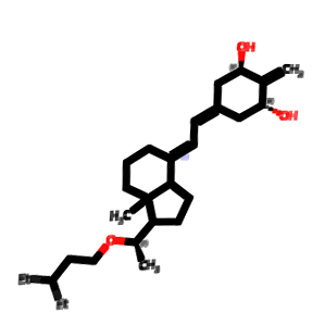 C=C1[C@H](O)CC(=C/C=C2\CCCC3(C)C2CCC3[C@@H](C)OCCC(CC)CC)C[C@H]1O